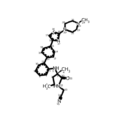 CCC[C@](C)(Nc1ccccc1-c1ccc(-c2csc(N3CCN(C)CC3)n2)cc1)C(=O)NCC#N